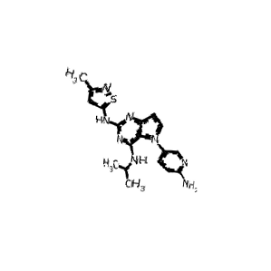 Cc1cc(Nc2nc(NC(C)C)c3c(ccn3-c3ccc(N)nc3)n2)sn1